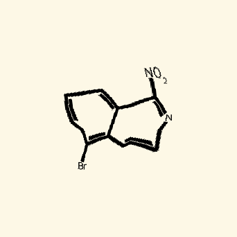 O=[N+]([O-])c1nccc2c(Br)cccc12